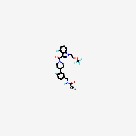 CC(=O)N(F)Cc1ccc(F)c(C2CCN(C(=O)c3cn(CCOC(F)(F)F)c4cccc(F)c34)CC2)c1